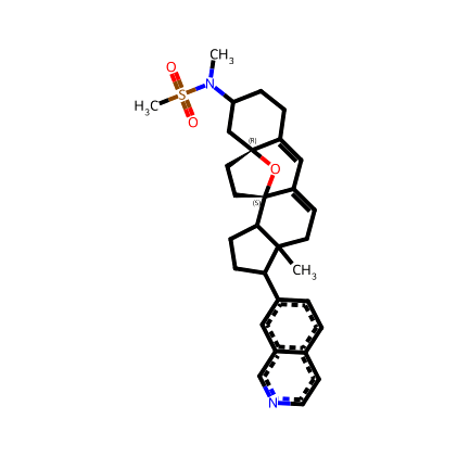 CN(C1CCC2=CC3=CCC4(C)C(c5ccc6ccncc6c5)CCC4[C@@]34CC[C@]2(C1)O4)S(C)(=O)=O